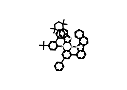 CC(C)(C)c1ccc(N2c3cc(-c4ccccc4)cc4c3B(c3sc5cc6c(cc5c32)C(C)(C)CCC6(C)C)n2c3c-4cccc3c3ccc4ccccc4c32)c(-c2ccccc2)c1